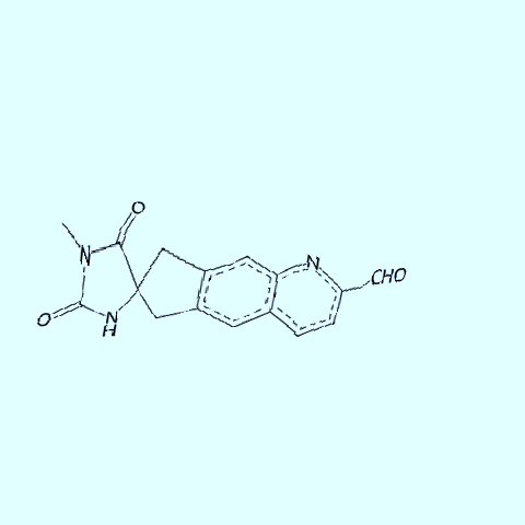 CN1C(=O)NC2(Cc3cc4ccc(C=O)nc4cc3C2)C1=O